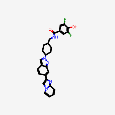 O=C(NCC1CCC(n2cc3ccc(-c4cn5ccccc5n4)cc3n2)CC1)c1cc(F)c(O)c(F)c1